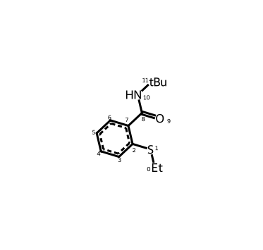 CCSc1ccccc1C(=O)NC(C)(C)C